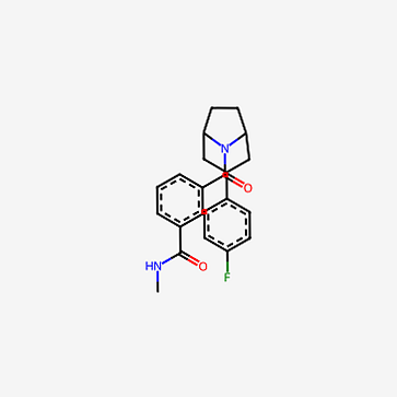 CNC(=O)c1cccc(C(=O)N2C3CCC2CC(c2ccc(F)cc2)C3)c1